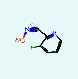 O/N=C\c1ncccc1F